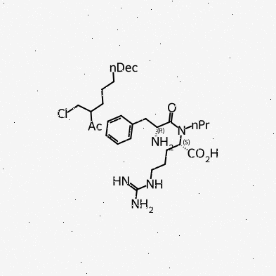 CCCCCCCCCCCCCC(CCl)C(C)=O.CCCN(C(=O)[C@H](N)Cc1ccccc1)[C@@H](CCCNC(=N)N)C(=O)O